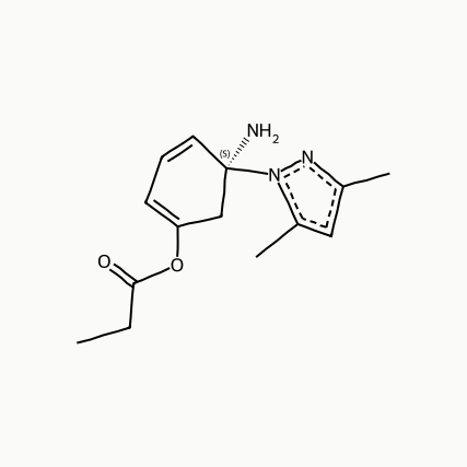 CCC(=O)OC1=CC=C[C@@](N)(n2nc(C)cc2C)C1